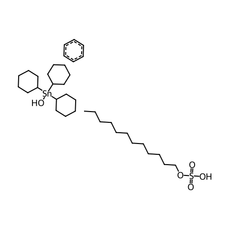 CCCCCCCCCCCCOS(=O)(=O)O.[OH][Sn]([CH]1CCCCC1)([CH]1CCCCC1)[CH]1CCCCC1.c1ccccc1